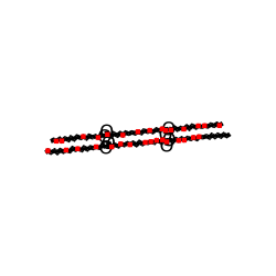 CCCCCCCCCCCCCCCCCCCCOC(=O)CCCCCCCCCCCCCCCCCCC(=O)OCCCCCCCCCCCCCCCCCCCC.CCCCCCCCCCCCCCCCCCOC(=O)CCCCCCCCCCCCCCCCCCC(=O)OCCCCCCCCCCCCCCCCCC